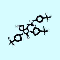 O=C(/N=C1\N(c2ccc(C(F)(F)F)cc2)C(=O)N(c2ccc(C(F)(F)F)cc2)C12CNC2)Nc1ccc(C(F)(F)F)cc1